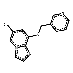 Clc1cc(NCc2cccnc2)c2nccn2c1